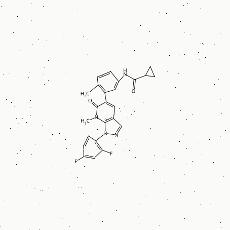 Cc1ccc(NC(=O)C2CC2)cc1-c1cc2cnn(-c3ccc(F)cc3F)c2n(C)c1=O